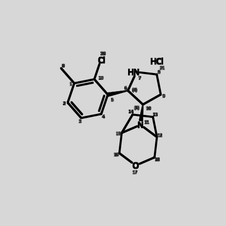 Cc1cccc([C@H]2NCC[C@H]2N2C3CCC2COC3)c1Cl.Cl